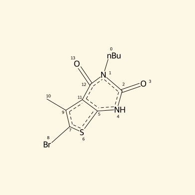 CCCCn1c(=O)[nH]c2sc(Br)c(C)c2c1=O